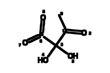 CC(=O)C(O)(O)P(=O)=O